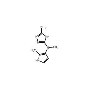 Cc1[nH]ccc1N(C)c1nnc(N)[nH]1